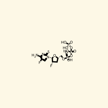 Nc1nc(=S)n([C@@H]2O[C@H](COP(=O)(O)OP(=O)(O)OP(=O)(O)O)C[C@@H]2F)cc1F